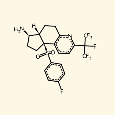 N[C@@H]1CC[C@@]2(S(=O)(=O)c3ccc(F)cc3)c3ccc(C(F)(C(F)(F)F)C(F)(F)F)nc3CC[C@@H]12